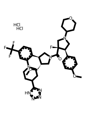 COC[C@H]1CN(C(=O)[C@]2(F)CN(C3CCOCC3)C[C@H]2c2ccc(OC)cc2)C[C@@H]1c1ccc(C(F)(F)F)cc1N1CCC(c2nnn[nH]2)CC1.Cl.Cl